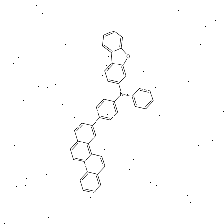 c1ccc(N(c2ccc(-c3ccc4ccc5c6ccccc6ccc5c4c3)cc2)c2ccc3c(c2)oc2ccccc23)cc1